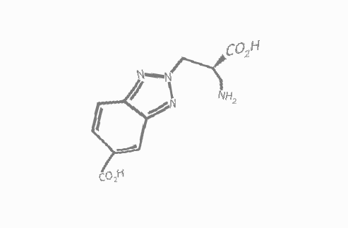 N[C@@H](Cn1nc2ccc(C(=O)O)cc2n1)C(=O)O